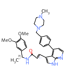 COc1ccc([C@@H](C)NC(=O)/C=C/c2c[nH]c3nccc(-c4ccc(CN5CCN(C)CC5)cc4)c23)cc1OC